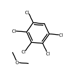 COC.Clc1cc(Cl)c(Cl)c(Cl)c1Cl